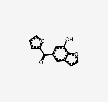 O=C(c1cc(O)c2occc2c1)c1ccco1